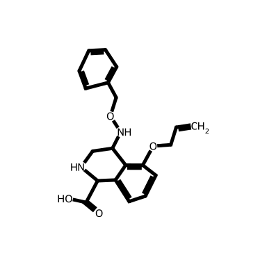 C=CCOc1cccc2c1C(NOCc1ccccc1)CNC2C(=O)O